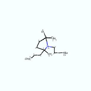 CCC1(C)CCC(C)(CCC=O)N1CCC(C)(C)C